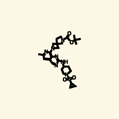 Cc1cc2cnc(NC3CCN(S(=O)(=O)C4CC4)CC3)nc2c(N2CC3(CCN(C(=O)OC(C)(C)C)C3)C2)n1